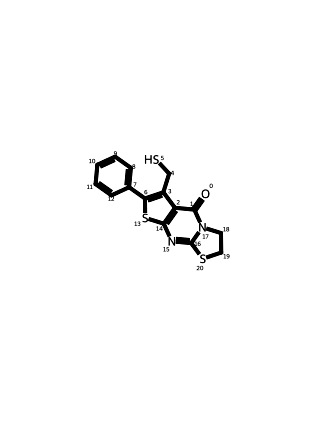 O=c1c2c(CS)c(-c3ccccc3)sc2nc2n1CCS2